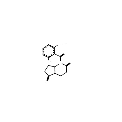 COc1cccc(OC)c1C(=O)N1C(=O)CCC2C(=O)CCC21